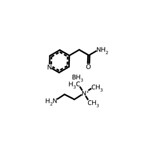 B.C[N+](C)(C)CCN.NC(=O)Cc1ccncc1